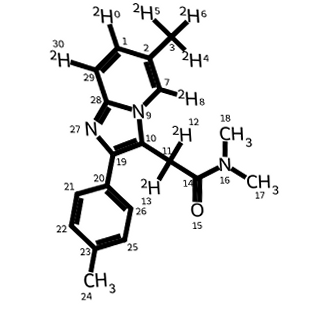 [2H]c1c(C([2H])([2H])[2H])c([2H])n2c(C([2H])([2H])C(=O)N(C)C)c(-c3ccc(C)cc3)nc2c1[2H]